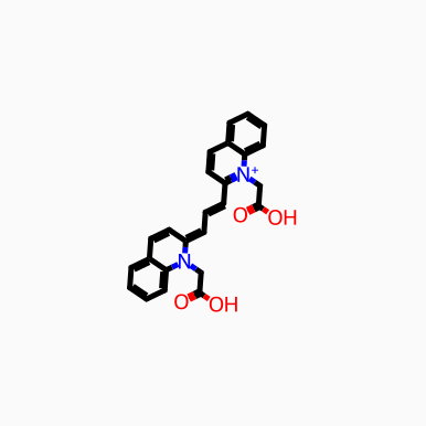 O=C(O)CN1/C(=C/C=Cc2ccc3ccccc3[n+]2CC(=O)O)C=Cc2ccccc21